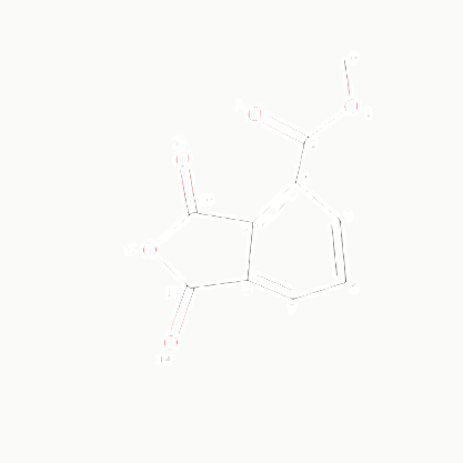 COC(=O)c1cccc2c1C(=O)OC2=O